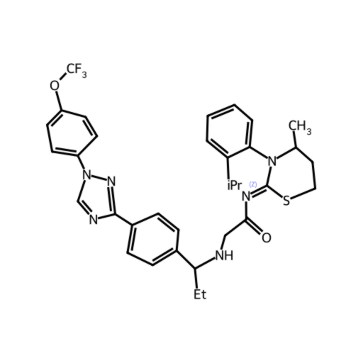 CCC(NCC(=O)/N=C1\SCCC(C)N1c1ccccc1C(C)C)c1ccc(-c2ncn(-c3ccc(OC(F)(F)F)cc3)n2)cc1